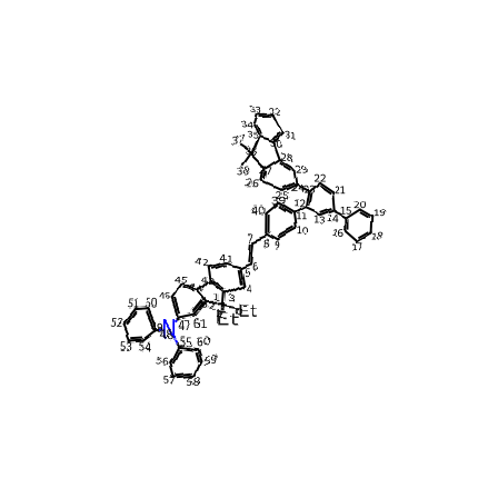 CCC1(CC)c2cc(/C=C/c3ccc(-c4cc(-c5ccccc5)ccc4-c4ccc5c(c4)-c4ccccc4C5(C)C)cc3)ccc2-c2ccc(N(c3ccccc3)c3ccccc3)cc21